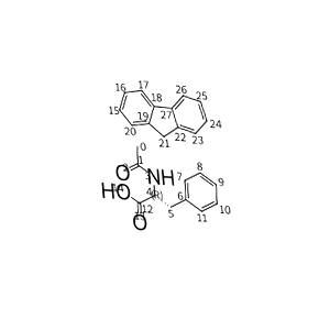 CC(=O)N[C@H](Cc1ccccc1)C(=O)O.c1ccc2c(c1)Cc1ccccc1-2